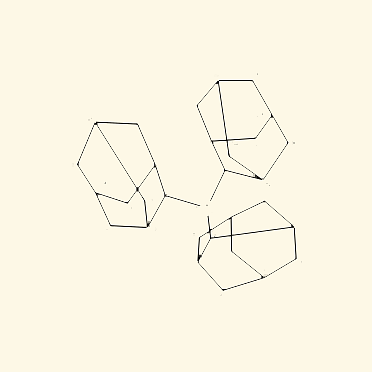 C1C2CC3CC1CC(C2)[CH]3[Al]([CH]1C2CC3CC(C2)CC1C3)[CH]1C2CC3CC(C2)CC1C3